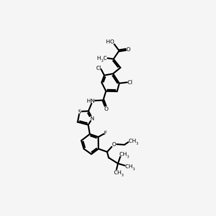 CCOC(CC(C)(C)C)c1cccc(-c2csc(NC(=O)c3cc(Cl)c(C=C(C)C(=O)O)c(Cl)c3)n2)c1F